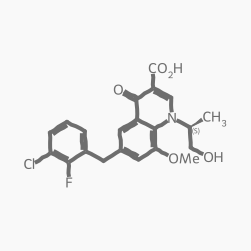 COc1cc(Cc2cccc(Cl)c2F)cc2c(=O)c(C(=O)O)cn([C@@H](C)CO)c12